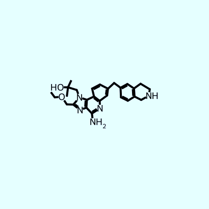 CCOCc1nc2c(N)nc3cc(Cc4ccc5c(c4)CCNC5)ccc3c2n1CC(C)(C)O